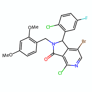 COc1ccc(CN2C(=O)c3c(Cl)ncc(Br)c3C2c2cc(F)ccc2Cl)c(OC)c1